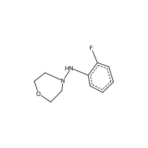 Fc1ccccc1NN1CCOCC1